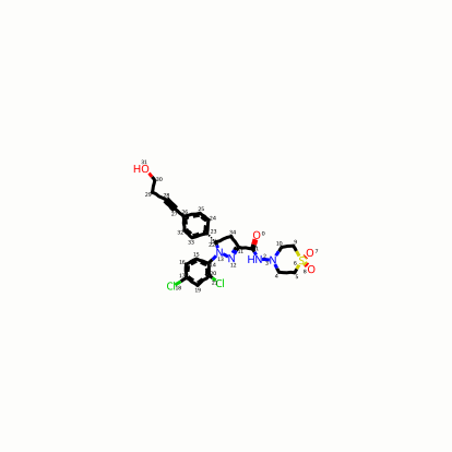 O=C(NN1CCS(=O)(=O)CC1)C1=NN(c2ccc(Cl)cc2Cl)[C@H](c2ccc(C#CCCO)cc2)C1